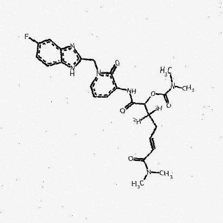 [2H]C([2H])(C/C=C/C(=O)N(C)C)C(OC(=O)N(C)C)C(=O)Nc1cccn(Cc2nc3cc(F)ccc3[nH]2)c1=O